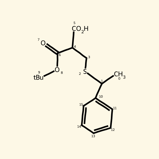 CC(SCC(C(=O)O)C(=O)OC(C)(C)C)c1ccccc1